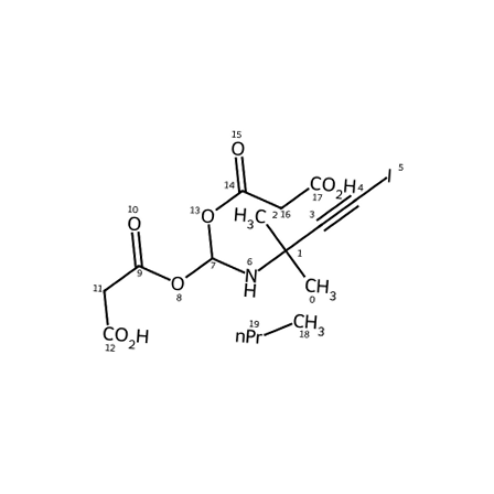 CC(C)(C#CI)NC(OC(=O)CC(=O)O)OC(=O)CC(=O)O.CCCC